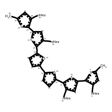 CCCCCCc1cc(C)sc1-c1cc(CCCCCC)c(-c2ccc(-c3ccc(-c4sc(-c5sc(C)cc5CCCCCC)cc4CCCCCC)s3)s2)s1